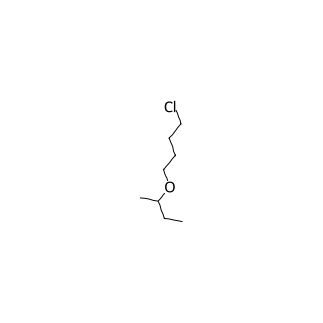 CCC(C)OCCCCCl